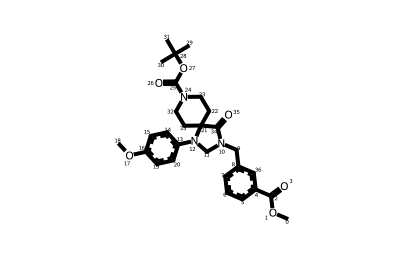 COC(=O)c1cccc(CN2CN(c3ccc(OC)cc3)C3(CCN(C(=O)OC(C)(C)C)CC3)C2=O)c1